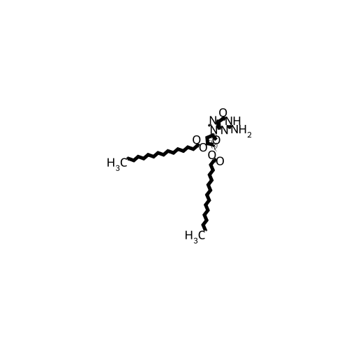 CCCCCCCCCCCCCCCC(=O)OC[C@H]1O[C@@H](n2cnc3c(=O)[nH]c(N)nc32)C[C@@H]1OC(=O)CCCCCCCCCCCCCCC